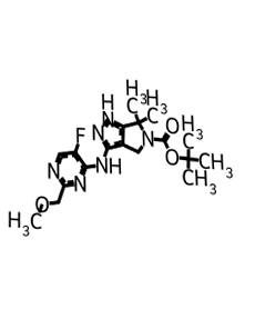 COCc1ncc(F)c(Nc2n[nH]c3c2CN(C(=O)OC(C)(C)C)C3(C)C)n1